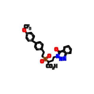 O=C(O)C(CCn1nnc2ccccc2c1=O)S(=O)(=O)CCc1ccc(-c2ccc(OC(F)(F)F)cc2)cc1